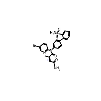 C/C(=C/C(N)=O)C(=O)N(c1ccc(-c2ccccc2S(N)(=O)=O)cc1)c1ccc(Br)cn1